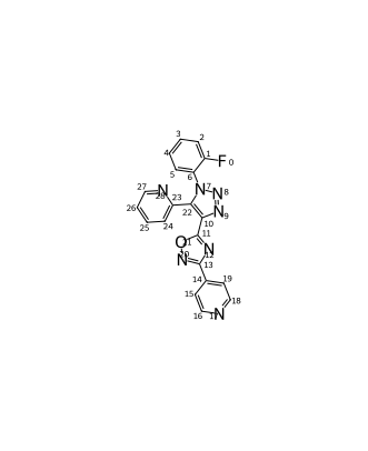 Fc1ccccc1-n1nnc(-c2nc(-c3ccncc3)no2)c1-c1ccccn1